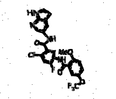 COc1ccc(OC(F)(F)F)cc1C(=O)Nc1cc(C(=O)Nc2cnc3[nH]ccc3c2)c(Cl)cc1F